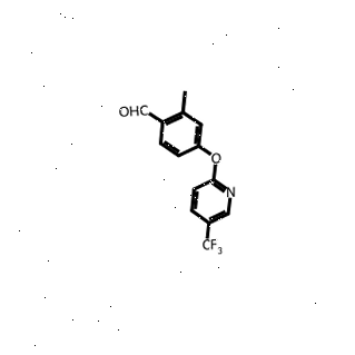 Cc1cc(Oc2ccc(C(F)(F)F)cn2)ccc1C=O